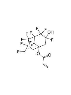 C=CC(=O)OC12CC(O)(F)C(F)(F)C(F)(C(F)(F)C(F)(CF)C1)C2(F)F